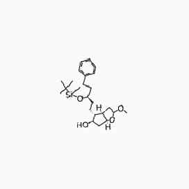 COC1C[C@@H]2[C@@H](CC[C@H](CCc3ccccc3)O[Si](C)(C)C(C)(C)C)[C@H](O)C[C@@H]2O1